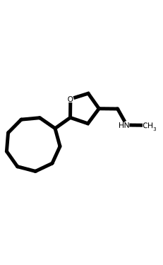 CNCC1COC(C2CCCCCCCC2)C1